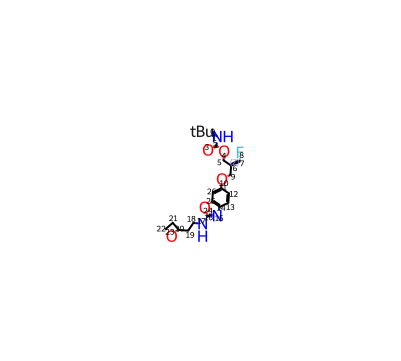 CC(C)(C)NC(=O)OC/C(=C\F)COc1ccc2nc(NCCC3CCO3)oc2c1